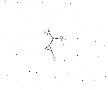 CC(C)C1CC1Cl